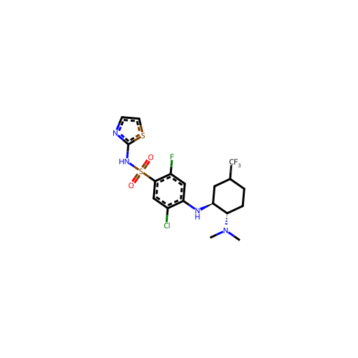 CN(C)[C@H]1CCC(C(F)(F)F)C[C@@H]1Nc1cc(F)c(S(=O)(=O)Nc2nccs2)cc1Cl